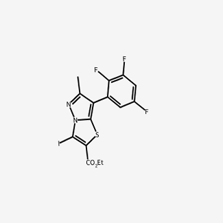 CCOC(=O)c1sc2c(-c3cc(F)cc(F)c3F)c(C)nn2c1I